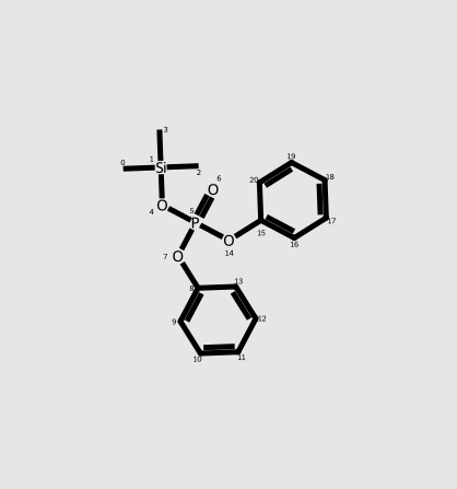 C[Si](C)(C)OP(=O)(Oc1ccccc1)Oc1ccccc1